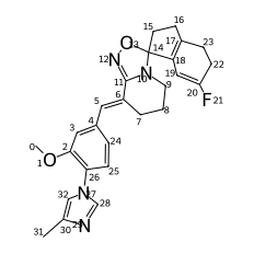 COc1cc(/C=C2\CCCN3C2=NOC32CCC3=C2C=C(F)CC3)ccc1-n1cnc(C)c1